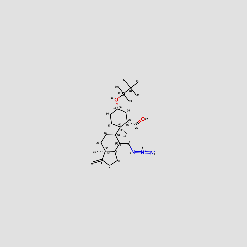 C=C1CCC2[C@H](CN=[N+]=[N-])C([C@@]3(C)CC[C@H](O[Si](C)(C)C(C)(C)C)C[C@@H]3C=O)CC[C@]12C